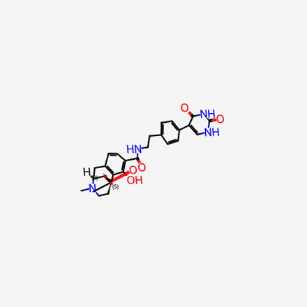 CN1CC[C@]23CC(=O)CCC2[C@H]1Cc1ccc(C(=O)NCCc2ccc(-c4c[nH]c(=O)[nH]c4=O)cc2)c(O)c13